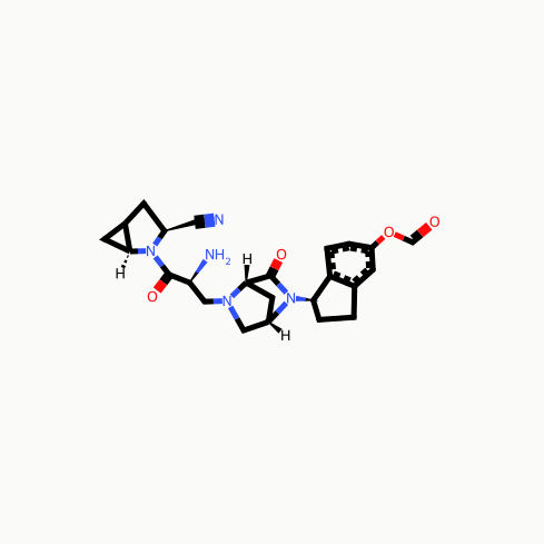 N#C[C@@H]1CC2C[C@@H]2N1C(=O)[C@@H](N)CN1C[C@@H]2C[C@H]1C(=O)N2[C@@H]1CCc2cc(OC=O)ccc21